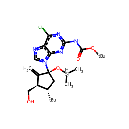 C=C1[C@H](CO)[C@@H](C(C)(C)C)C[C@@]1(O[SiH](C)C)n1cnc2c(Cl)nc(NC(=O)OC(C)(C)C)nc21